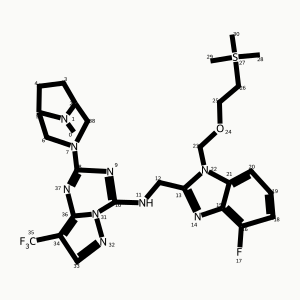 CN1C2CCC1CN(c1nc(NCc3nc4c(F)cccc4n3COCCS(C)(C)C)n3ncc(C(F)(F)F)c3n1)C2